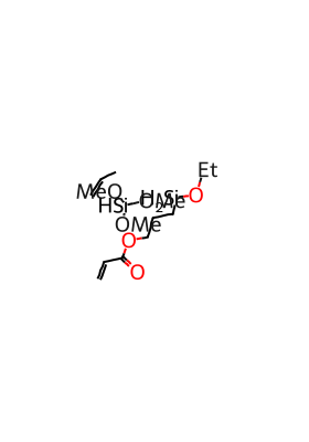 C=CC.C=CC(=O)OCCC[SiH2]OCC.CO[SiH](OC)OC